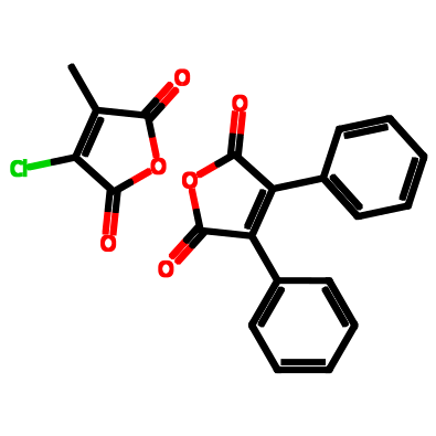 CC1=C(Cl)C(=O)OC1=O.O=C1OC(=O)C(c2ccccc2)=C1c1ccccc1